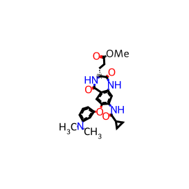 COC(=O)CC[C@H]1NC(=O)c2cc(Oc3cccc(N(C)C)c3)c(NC(=O)C3CC3)cc2NC1=O